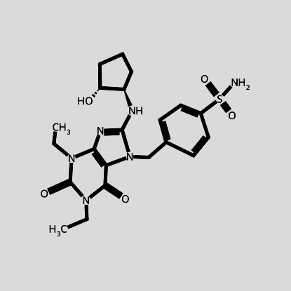 CCn1c(=O)c2c(nc(N[C@@H]3CCC[C@H]3O)n2Cc2ccc(S(N)(=O)=O)cc2)n(CC)c1=O